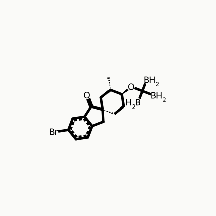 BC(B)(B)O[C@H]1CC[C@@]2(Cc3ccc(Br)cc3C2=O)C[C@@H]1C